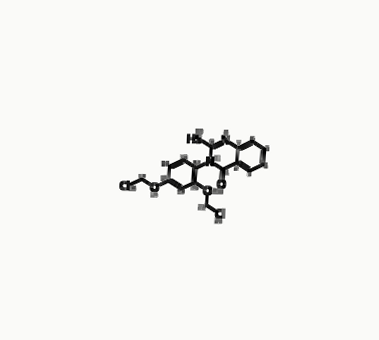 O=c1c2ccccc2nc(S)n1-c1ccc(OCCl)cc1OCCl